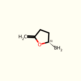 B[C@H]1CCC(=C)O1